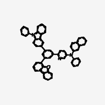 c1ccc(N(c2ccc(-c3cc(-c4ccc5c(c4)c4ccccc4n5-c4ccccc4)cc(-c4cccc5c4oc4ccccc45)c3)nc2)c2ccc3ccccc3c2)cc1